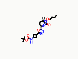 CCCCON1C(=O)N2C[C@@H]1CC[C@H]2c1nnc(C2CC(NC(=O)OC(C)(C)C)C2)o1